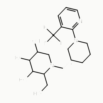 OCC1C(O)C(O)C(O)CN1C[C@H]1CCCN(c2ncccc2C(F)(F)F)C1